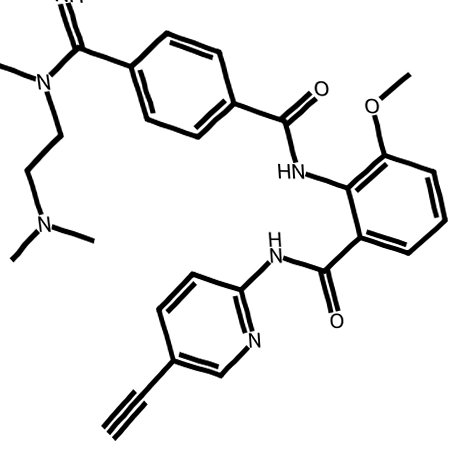 C#Cc1ccc(NC(=O)c2cccc(OC)c2NC(=O)c2ccc(C(=N)N(C)CCN(C)C)cc2)nc1